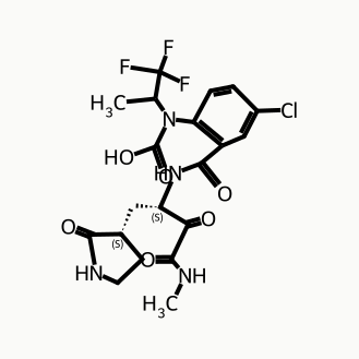 CNC(=O)C(=O)[C@H](C[C@@H]1CCNC1=O)NC(=O)c1cc(Cl)ccc1N(C(=O)O)C(C)C(F)(F)F